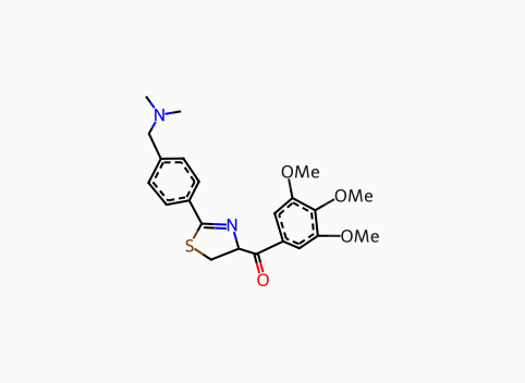 COc1cc(C(=O)C2CSC(c3ccc(CN(C)C)cc3)=N2)cc(OC)c1OC